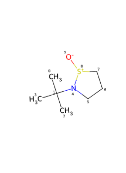 CC(C)(C)N1CCC[S+]1[O-]